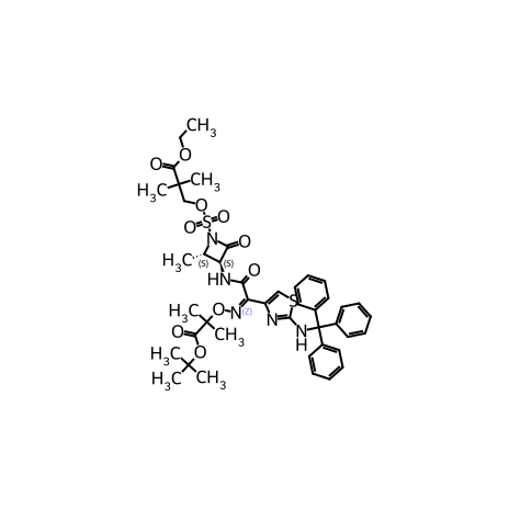 CCOC(=O)C(C)(C)COS(=O)(=O)N1C(=O)[C@@H](NC(=O)/C(=N\OC(C)(C)C(=O)OC(C)(C)C)c2csc(NC(c3ccccc3)(c3ccccc3)c3ccccc3)n2)[C@@H]1C